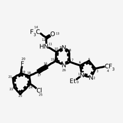 CCn1nc(C(F)(F)F)cc1-c1cnc(NC(=O)C(F)(F)F)c(C#Cc2c(F)cccc2Cl)n1